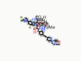 COC(=O)NC(C(=O)NC(Cc1ccc(C#Cc2ccc(N3CCN4CCOC[C@H]4C3)nc2)cc1)C(O)CN(Cc1c(F)cc(-c2ccn(C(F)F)n2)cc1F)NC(=O)C(NC(=O)O)C(C)(C)C)C(C)(C)C(F)(F)F